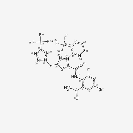 Cc1cc(Br)cc(C(N)=O)c1NC(=O)c1cc(Cn2nnc(C(F)(F)F)n2)nn1-c1ncccc1C(F)(F)F